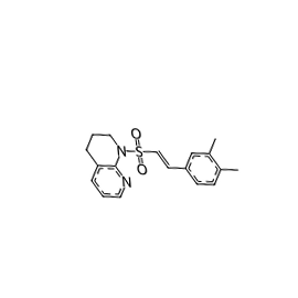 Cc1ccc(/C=C/S(=O)(=O)N2CCCc3cccnc32)cc1C